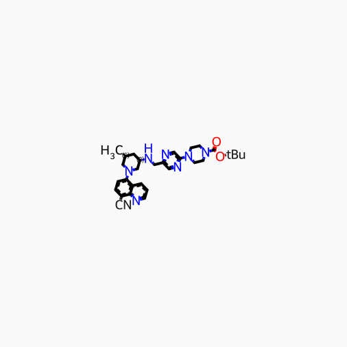 C[C@H]1C[C@@H](NCc2cnc(N3CCN(C(=O)OC(C)(C)C)CC3)cn2)CN(c2ccc(C#N)c3ncccc23)C1